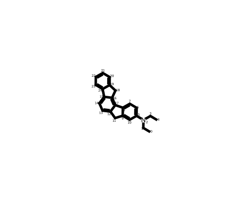 CCN(CC)c1ccc2c(c1)Cc1ccc3c(c1-2)Cc1ccccc1-3